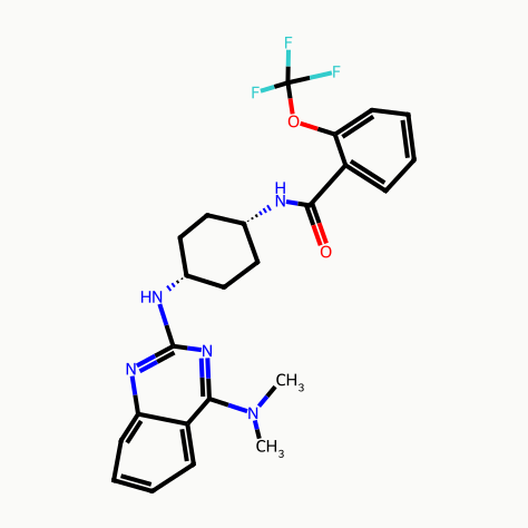 CN(C)c1nc(N[C@H]2CC[C@@H](NC(=O)c3ccccc3OC(F)(F)F)CC2)nc2ccccc12